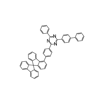 c1ccc(-c2ccc(-c3nc(-c4ccccc4)nc(-c4ccc(-c5cccc6c5-c5ccccc5C65c6ccccc6-c6ccccc65)cc4)n3)cc2)cc1